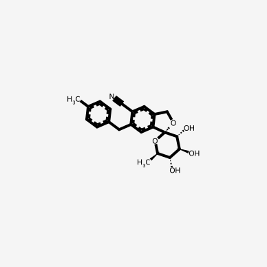 Cc1ccc(Cc2cc3c(cc2C#N)CO[C@]32O[C@H](C)[C@@H](O)[C@H](O)[C@H]2O)cc1